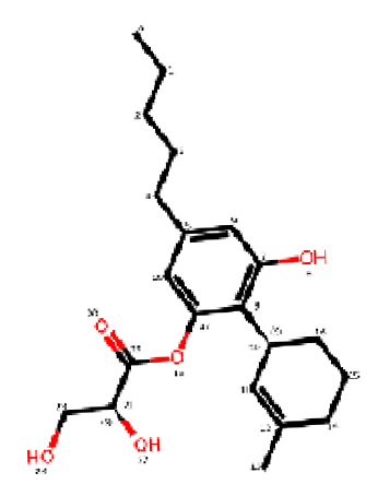 CCCCCc1cc(O)c([C@@H]2C=C(C)CCC2)c(OC(=O)[C@@H](O)CO)c1